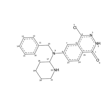 O=c1[nH]nc(Cl)c2cc(N(Cc3ccccc3)C3CCCCN3)ccc12